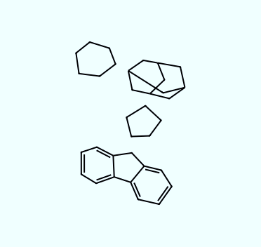 C1C2CC3CC1CC(C2)C3.C1CCCC1.C1CCCCC1.c1ccc2c(c1)Cc1ccccc1-2